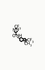 Cn1c(C(F)(F)F)cc2cc(CNC(=O)c3cnc(C(F)(F)F)nc3)ccc21